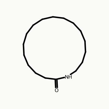 O=C1CCCCCCCCCCCCCCCCN1